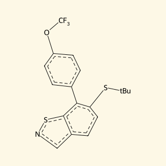 CC(C)(C)Sc1ccc2cnsc2c1-c1ccc(OC(F)(F)F)cc1